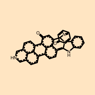 O=C1C=CC2=NC3c4cc(=O)c5c6ccc7c[nH]cc8ccc(c9ccc(c4c95)=C4Nc5ccccc5[N+]43C2=C1)c6c87